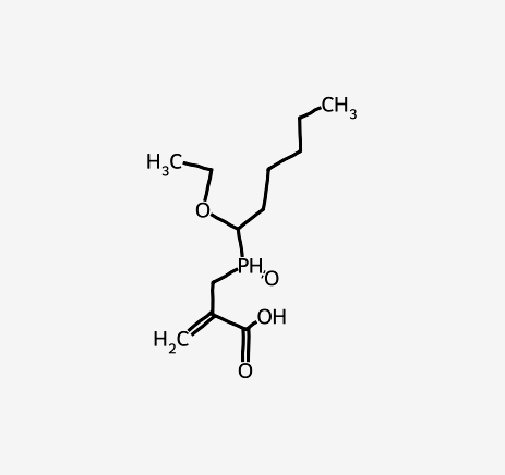 C=C(C[PH](=O)C(CCCCC)OCC)C(=O)O